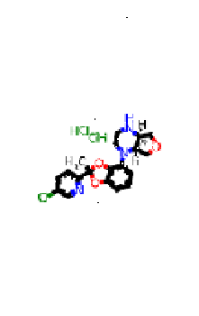 CC1(c2ccc(Cl)cn2)Oc2cccc(N3CCN[C@H]4COC[C@H]43)c2O1.Cl.Cl